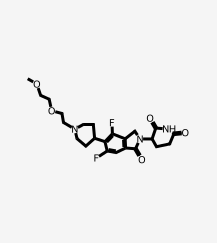 COCCOCCN1CCC(c2c(F)cc3c(c2F)CN(C2CCC(=O)NC2=O)C3=O)CC1